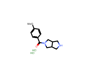 COc1ccc(C(=O)N2CC3CNCC3C2)cc1.Cl.Cl